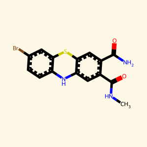 CNC(=O)c1cc2c(cc1C(N)=O)Sc1cc(Br)ccc1N2